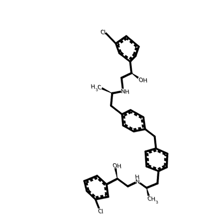 C[C@H](Cc1ccc(Cc2ccc(C[C@@H](C)NC[C@H](O)c3cccc(Cl)c3)cc2)cc1)NC[C@H](O)c1cccc(Cl)c1